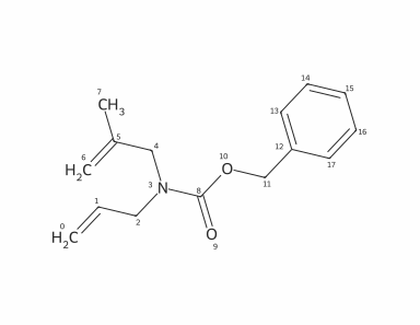 C=CCN(CC(=C)C)C(=O)OCc1ccccc1